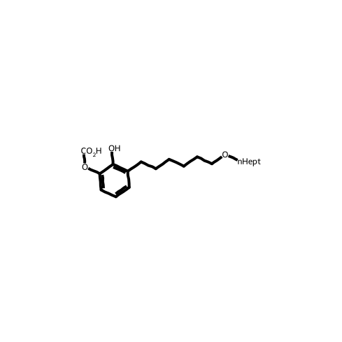 CCCCCCCOCCCCCCc1cccc(OC(=O)O)c1O